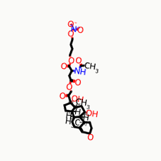 CC(=O)NC(CC(=O)OCC(=O)[C@@]1(O)CC[C@H]2[C@@H]3CCC4=CC(=O)CC[C@]4(C)[C@H]3[C@@H](O)C[C@@]21C)C(=O)OCCCCO[N+](=O)[O-]